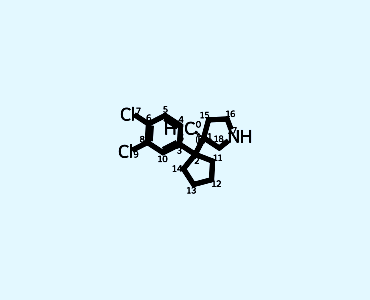 C[C@]1(C2(c3ccc(Cl)c(Cl)c3)CCCC2)CCNC1